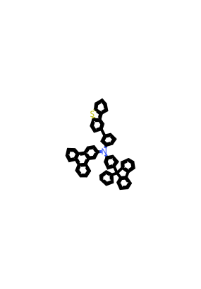 c1ccc(C2(c3ccc(N(c4cccc(-c5ccc6sc7ccccc7c6c5)c4)c4ccc5c6ccccc6c6ccccc6c5c4)cc3)c3ccccc3-c3ccccc32)cc1